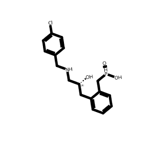 O=[PH](O)Cc1ccccc1C[C@@H](O)CNCc1ccc(Cl)cc1